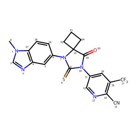 Cn1cnc2cc(N3C(=S)N(c4cnc(C#N)c(C(F)(F)F)c4)C(=O)C34CCC4)ccc21